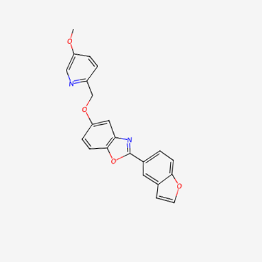 COc1ccc(COc2ccc3oc(-c4ccc5occc5c4)nc3c2)nc1